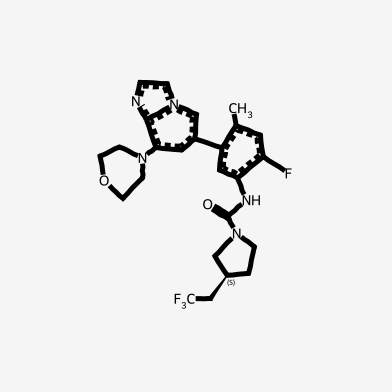 Cc1cc(F)c(NC(=O)N2CC[C@@H](CC(F)(F)F)C2)cc1-c1cc(N2CCOCC2)c2nccn2c1